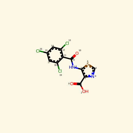 O=C(O)c1ncsc1NC(=O)c1c(Cl)cc(Cl)cc1Cl